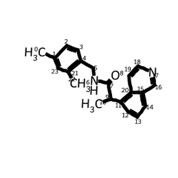 Cc1ccc(CNC(=O)C(C)c2cccc3cnccc23)c(C)c1